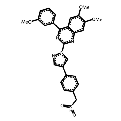 COc1cccc(-c2nc(-n3cc(-c4ccc(C[SH](=O)=O)cc4)cn3)nc3cc(OC)c(OC)cc23)c1